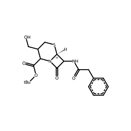 CC(C)(C)OC(=O)C1C(CO)CS[C@H]2C(NC(=O)Cc3ccccc3)C(=O)N12